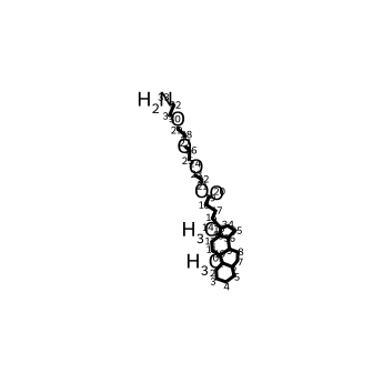 CC12CCCCC1CCC1C2CCC2(C)C(CCCC(=O)OCCOCCOCCOCCN)CCC12